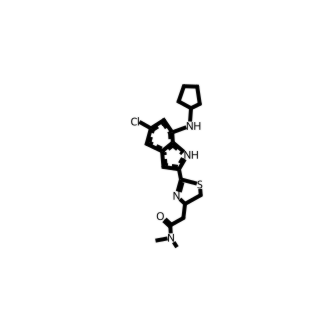 CN(C)C(=O)CC1CSC(c2cc3cc(Cl)cc(NC4CCCC4)c3[nH]2)=N1